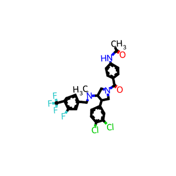 CC(=O)Nc1ccc(C(=O)N2CC(c3ccc(Cl)c(Cl)c3)C(N(C)Cc3ccc(C(F)(F)F)c(F)c3)C2)cc1